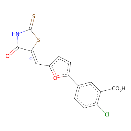 O=C1NC(=S)S/C1=C\c1ccc(-c2ccc(Cl)c(C(=O)O)c2)o1